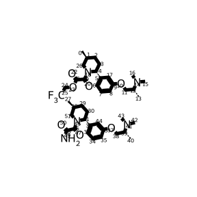 C[C@H]1CC[C@H](c2cccc(OC[C@@H](C)N(C)C)c2)N(C(=O)C(=O)OCC(F)(F)F)C1.C[C@H]1CC[C@H](c2cccc(OC[C@@H](C)N(C)C)c2)N(C(=O)C(N)=O)C1